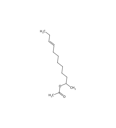 CCC=CCCCCCCC(C)OC(C)=O